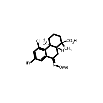 CO/N=C1\C[C@H]2[C@](C)(C(=O)O)CCC[C@]2(C)c2c(Cl)cc(C(C)C)cc21